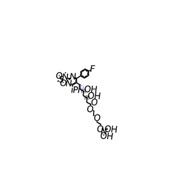 CC(C)c1nc(N(C)S(C)(=O)=O)nc(-c2ccc(F)cc2)c1/C=C/[C@@H](O)C[C@@H](O)CC(=O)OCCOCCON(O)O